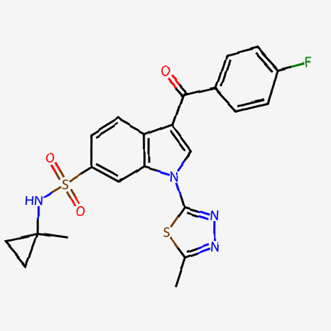 Cc1nnc(-n2cc(C(=O)c3ccc(F)cc3)c3ccc(S(=O)(=O)NC4(C)CC4)cc32)s1